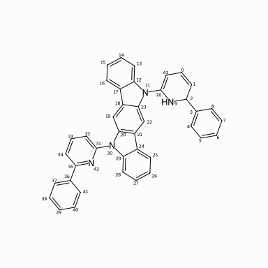 C1=CC(c2ccccc2)NC(n2c3ccccc3c3cc4c(cc32)c2ccccc2n4-c2cccc(-c3ccccc3)n2)=C1